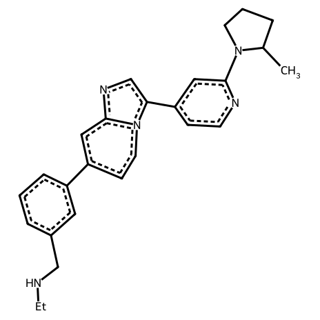 CCNCc1cccc(-c2ccn3c(-c4ccnc(N5CCCC5C)c4)cnc3c2)c1